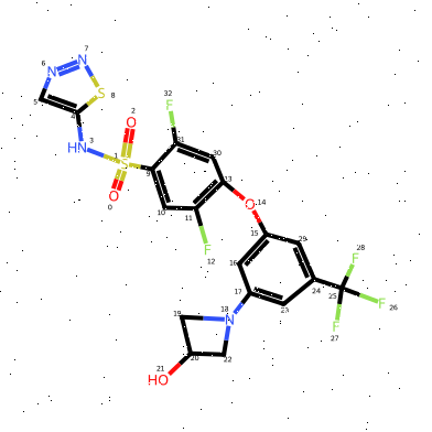 O=S(=O)(Nc1cnns1)c1cc(F)c(Oc2cc(N3CC(O)C3)cc(C(F)(F)F)c2)cc1F